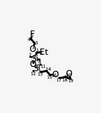 CCC(OCCF)[Si](C)(C)O[Si](C)(C)CCCOCC1CO1